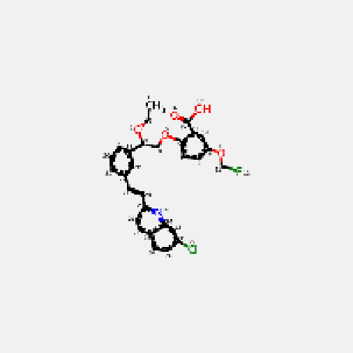 CCO[C@@H](COc1ccc(OCF)cc1C(=O)O)c1cccc(/C=C/c2ccc3ccc(Cl)cc3n2)c1